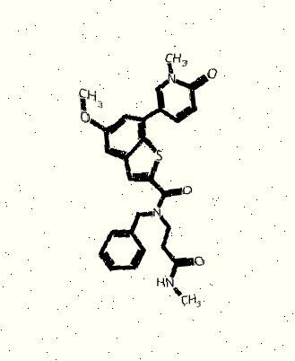 CNC(=O)CCN(Cc1ccccc1)C(=O)c1cc2cc(OC)cc(-c3ccc(=O)n(C)c3)c2s1